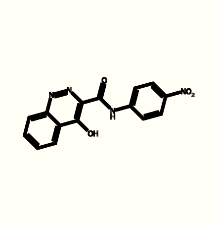 O=C(Nc1ccc([N+](=O)[O-])cc1)c1nnc2ccccc2c1O